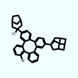 CCC1(c2ccc3c(c2)-c2cccc(Br)c2-c2ccccc2-c2cc(C45CC6CC7CC(C4)C76C5)ccc2-3)CC2CCC(C2)C1